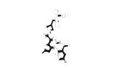 Cc1cc2nc(NC(C)c3cncc(F)c3)nc(C(=O)N3CC(CNC(=O)C(C)(C)C)C3)c2s1